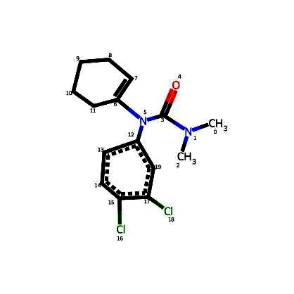 CN(C)C(=O)N(C1=CCCCC1)c1ccc(Cl)c(Cl)c1